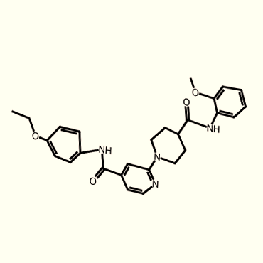 CCOc1ccc(NC(=O)c2ccnc(N3CCC(C(=O)Nc4ccccc4OC)CC3)c2)cc1